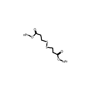 CCCOC(=O)CCSSCCC(=O)OCCC